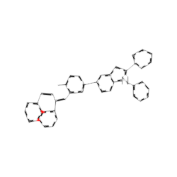 Cc1ccc(-c2ccc3c(c2)cc(-c2ccccc2)n3-c2ccccc2)cc1/C=C(\C=C/c1ccccc1)c1ccccc1